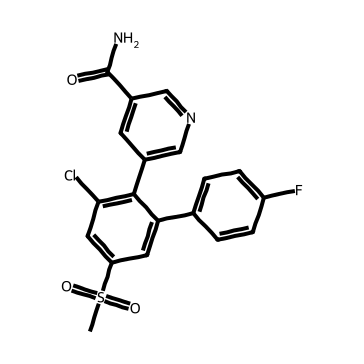 CS(=O)(=O)c1cc(Cl)c(-c2cncc(C(N)=O)c2)c(-c2ccc(F)cc2)c1